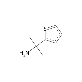 CC(C)(N)c1cccs1